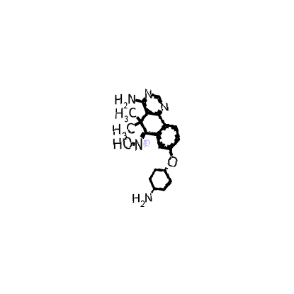 CC1(C)/C(=N\O)c2cc(O[C@H]3CC[C@H](N)CC3)ccc2-c2ncnc(N)c21